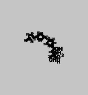 CC1=NC(c2ccc(Oc3ccc(C(O)CC(N)(CO)CO)cc3)cc2)=CC1